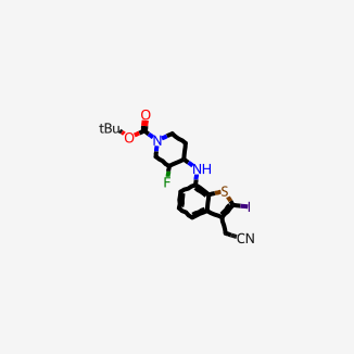 CC(C)(C)OC(=O)N1CCC(Nc2cccc3c(CC#N)c(I)sc23)C(F)C1